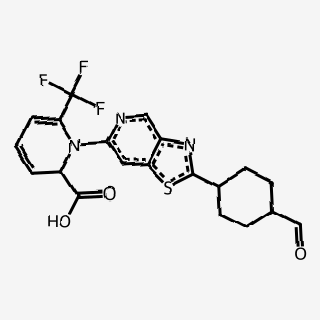 O=CC1CCC(c2nc3cnc(N4C(C(F)(F)F)=CC=CC4C(=O)O)cc3s2)CC1